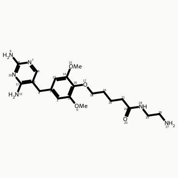 COc1cc(Cc2cnc(N)nc2N)cc(OC)c1OCCCCC(=O)NCCN